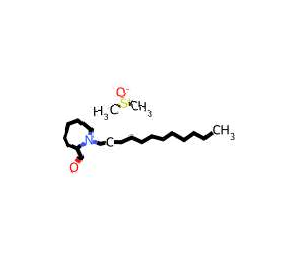 CCCCCCCCCCCCN1CCCCCC1C=O.C[S+](C)[O-]